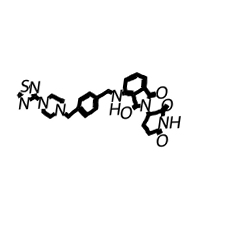 O=C1CCC(N2C(=O)c3cccc(NCc4ccc(CN5CCN(c6ncsn6)CC5)cc4)c3C2=O)C(=O)N1